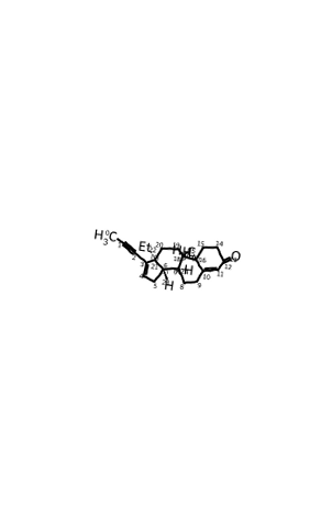 CC#CC1=CC[C@H]2[C@@H]3CCC4=CC(=O)CC[C@]4(C)[C@H]3CC[C@]12CC